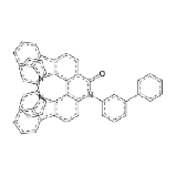 O=c1c2ccc3c4ccccc4n(-c4ccccc4)c3c2c2c(ccc3c4ccccc4n(-c4ccccc4)c32)n1-c1cccc(-c2ccccc2)c1